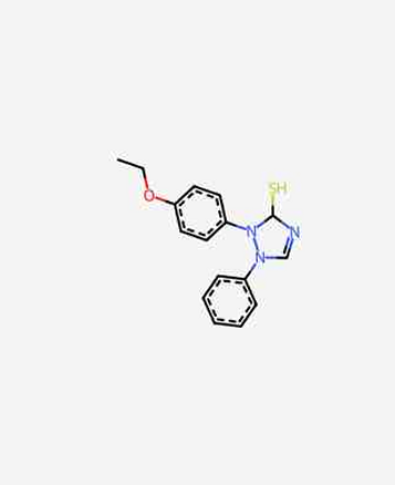 CCOc1ccc(N2C(S)N=CN2c2ccccc2)cc1